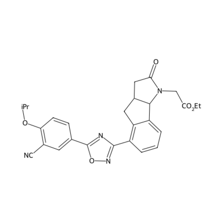 CCOC(=O)CN1C(=O)CC2Cc3c(-c4noc(-c5ccc(OC(C)C)c(C#N)c5)n4)cccc3C21